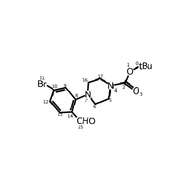 CC(C)(C)OC(=O)N1CCN(c2cc(Br)ccc2C=O)CC1